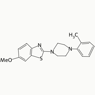 COc1ccc2nc(N3CCN(c4ccccc4C)CC3)sc2c1